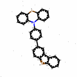 c1ccc2c(c1)Sc1ccccc1N2c1ccc(-c2ccc3sc4ccccc4c3c2)cc1